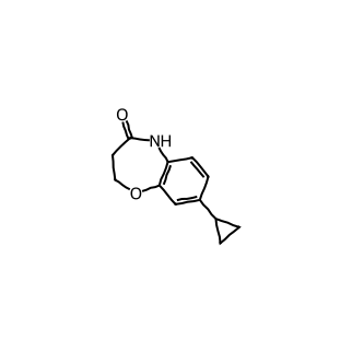 O=C1CCOc2cc(C3CC3)ccc2N1